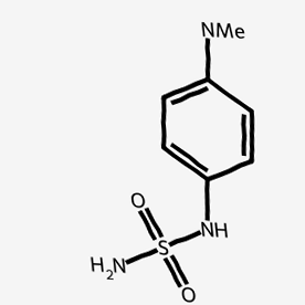 CNc1ccc(NS(N)(=O)=O)cc1